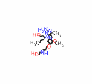 CCCC[C@@H](CCO)Nc1nc(N)nc(C)c1Cc1ccc(OCCCNCCO)cc1OC